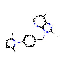 CCCc1nc2c(C)ccnc2n1Cc1ccc(-n2c(C)ccc2C#N)cc1